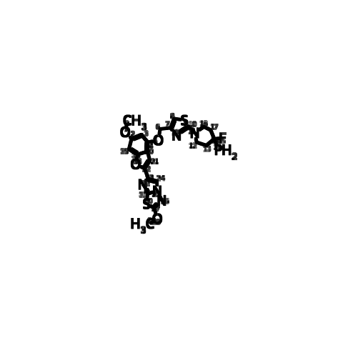 COc1cc(OCc2csc(N3CCC(F)(P)CC3)n2)c2cc(-c3cn4nc(OC)sc4n3)oc2c1